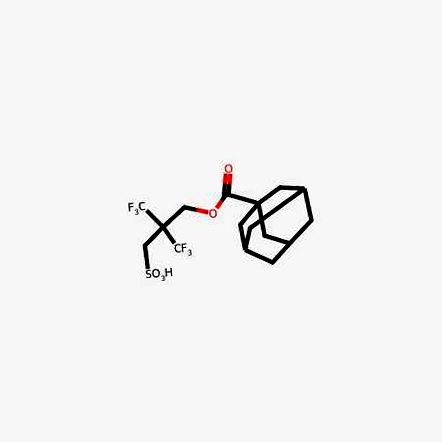 O=C(OCC(CS(=O)(=O)O)(C(F)(F)F)C(F)(F)F)C12CC3CC(CC(C3)C1)C2